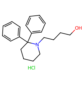 Cl.OCCCCN1CCCCC1(c1ccccc1)c1ccccc1